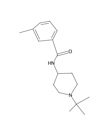 Cc1cccc(C(=O)NC2CCN(C(C)(C)C)CC2)c1